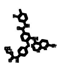 Cc1ccc(NC(=O)c2ccc(Sc3ccc(NC(=O)OCC(Cl)(Cl)Cl)cc3)c(Nc3ncnc4nc(C(C)C)ccc34)c2)cc1F